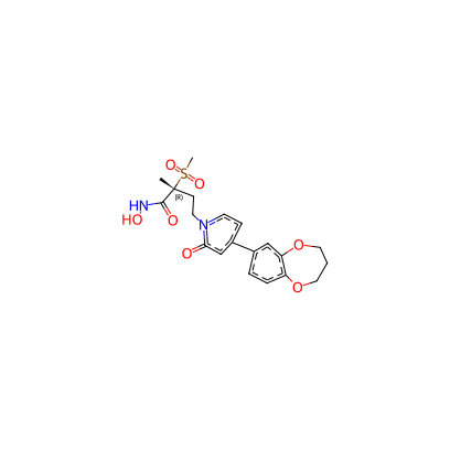 C[C@@](CCn1ccc(-c2ccc3c(c2)OCCCO3)cc1=O)(C(=O)NO)S(C)(=O)=O